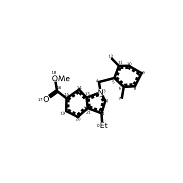 CCc1cn(Cc2c(C)cccc2C)c2cc(C(=O)OC)ccc12